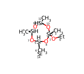 CCO[Si]1(C)O[SiH](C)O[SiH](C)O[SiH](C)O1.[Si]